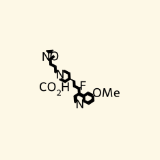 COc1ccc2nccc([C@H](F)CC[C@@H]3CCN(CCCc4ncco4)C[C@@H]3C(=O)O)c2c1